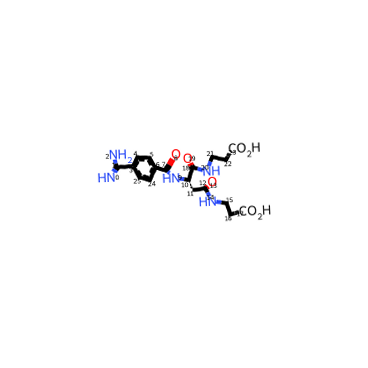 N=C(N)c1ccc(C(=O)N[C@@H](CC(=O)NCCC(=O)O)C(=O)NCCC(=O)O)cc1